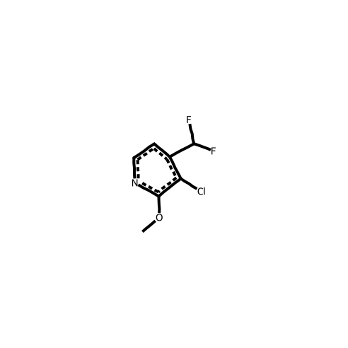 COc1nccc(C(F)F)c1Cl